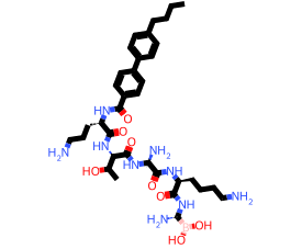 CCCCc1ccc(-c2ccc(C(=O)N[C@@H](CCCN)C(=O)N[C@H](C(=O)N[C@@H](N)C(=O)N[C@@H](CCCCN)C(=O)N[C@@H](N)B(O)O)C(C)O)cc2)cc1